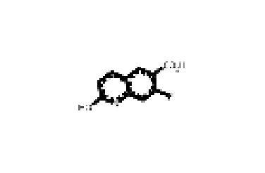 O=C(O)c1cc2ccc(O)nc2cc1F